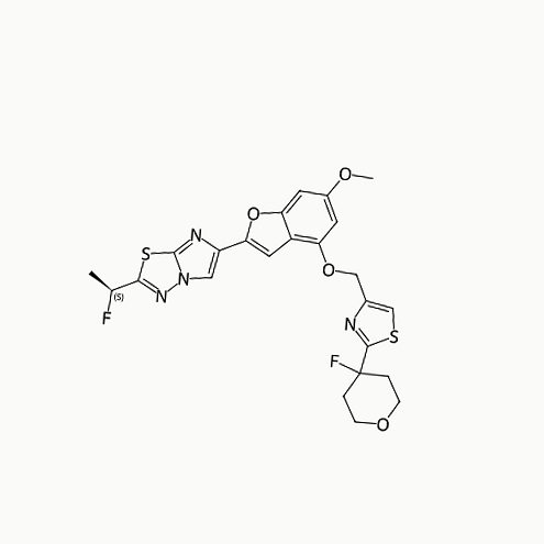 COc1cc(OCc2csc(C3(F)CCOCC3)n2)c2cc(-c3cn4nc([C@H](C)F)sc4n3)oc2c1